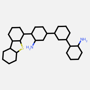 NC1CCCCC1C1CCCC(C2CCC(C3CCCC4C5CCCCC5SC34)C(N)C2)C1